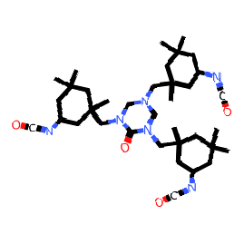 CC1(C)CC(N=C=O)CC(C)(CN2CN(CC3(C)CC(N=C=O)CC(C)(C)C3)C(=O)N(CC3(C)CC(N=C=O)CC(C)(C)C3)C2)C1